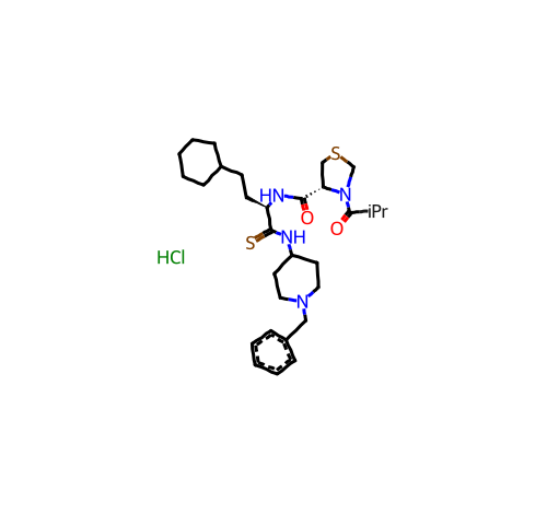 CC(C)C(=O)N1CSC[C@H]1C(=O)N[C@H](CCC1CCCCC1)C(=S)NC1CCN(Cc2ccccc2)CC1.Cl